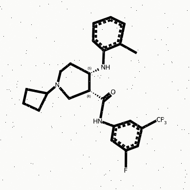 Cc1ccccc1N[C@H]1CCN(C2CCC2)C[C@H]1C(=O)Nc1cc(F)cc(C(F)(F)F)c1